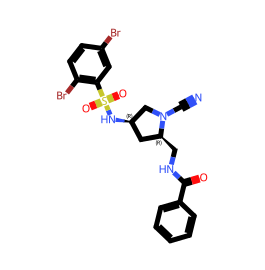 N#CN1C[C@H](NS(=O)(=O)c2cc(Br)ccc2Br)C[C@@H]1CNC(=O)c1ccccc1